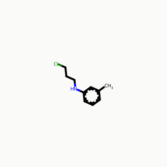 Cc1cccc(NCCCCl)c1